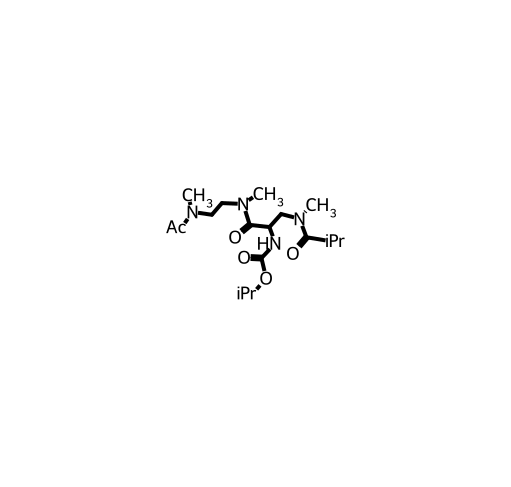 CC(=O)N(C)CCN(C)C(=O)C(CN(C)C(=O)C(C)C)NC(=O)OC(C)C